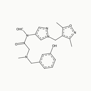 Cc1noc(C)c1Cn1cc(N(C=O)C(=O)CN(C)Cc2cccc(O)c2)cn1